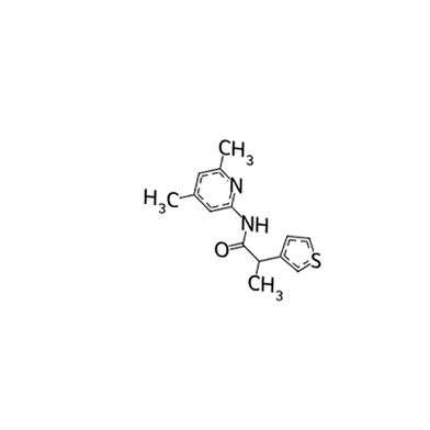 Cc1cc(C)nc(NC(=O)C(C)c2ccsc2)c1